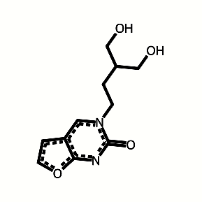 O=c1nc2occc2cn1CCC(CO)CO